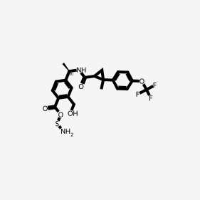 C[C@@H](NC(=O)C1CC1(C)c1ccc(OC(F)(F)F)cc1)c1ccc(C(=O)OSN)c(CO)c1